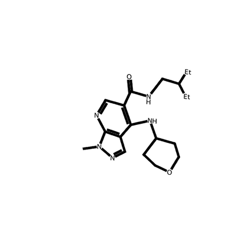 CCC(CC)CNC(=O)c1cnc2c(cnn2C)c1NC1CCOCC1